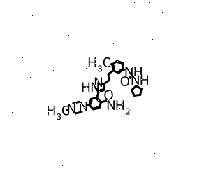 Cc1ccc(NC(=O)NC2CCCC2)cc1CCc1cc(-c2cc(N3CCN(C)CC3)ccc2C(N)=O)[nH]n1